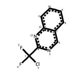 FC(F)(Cl)c1ncc2ccccc2n1